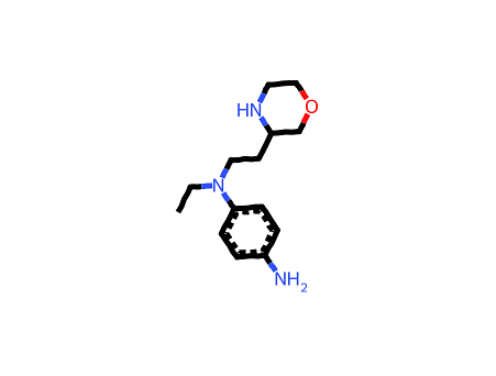 CCN(CCC1COCCN1)c1ccc(N)cc1